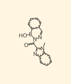 Cn1c(C(=O)N2N=Cc3ccccc3B2O)nc2ccccc21